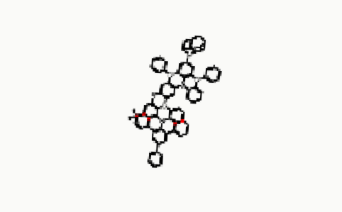 CC(C)(C)c1cc2c3c(c1)N(c1c(-c4ccccc4)cc(-c4ccccc4)cc1-c1ccccc1)c1ccccc1B3c1cc3c(cc1S2)N(c1ccccc1)c1cc(N2C4CC5CC(C4)CC2C5)cc2c1B3c1ccccc1N2c1ccccc1